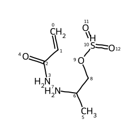 C=CC(N)=O.CC(N)CO[SH](=O)=O